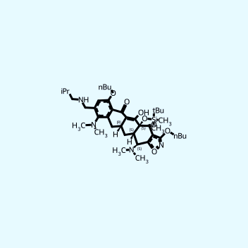 CCCCOc1cc(CNCC(C)C)c(N(C)C)c2c1C(=O)C1=C(O)[C@]3(O[Si](C)(C)C(C)(C)C)C(=O)c4c(OCCCC)noc4[C@@H](N(C)C)[C@@H]3C[C@@H]1C2